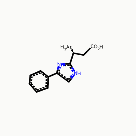 O=C(O)C[C@H]([AsH2])c1nc(-c2ccccc2)c[nH]1